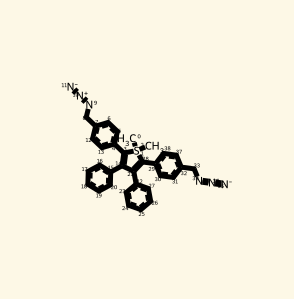 CS1(C)C(c2ccc(CN=[N+]=[N-])cc2)=C(c2ccccc2)C(c2ccccc2)=C1c1ccc(CN=[N+]=[N-])cc1